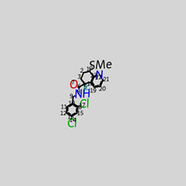 CSC1CC[C@@](F)(C(=O)NCc2ccc(Cl)cc2Cl)c2cccnc21